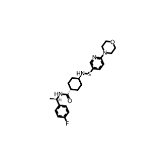 C[C@@H](NC(=O)[C@H]1CC[C@H](NSc2ccc(N3CCOCC3)nc2)CC1)c1ccc(F)cc1